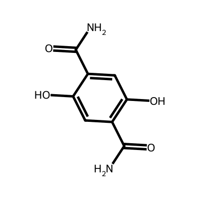 NC(=O)c1cc(O)c(C(N)=O)cc1O